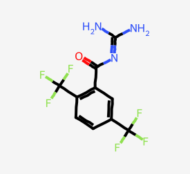 NC(N)=NC(=O)c1cc(C(F)(F)F)ccc1C(F)(F)F